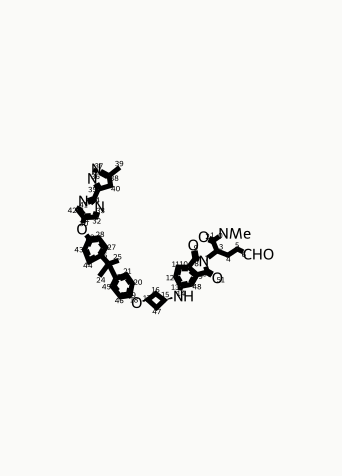 CNC(=O)C(CCC=O)N1C(=O)c2ccc(N[C@H]3C[C@@H](Oc4ccc(C(C)(C)c5ccc(Oc6cnc(C7=NN=C(C)C7)nc6)cc5)cc4)C3)cc2C1=O